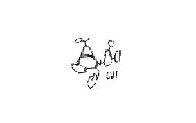 CC(=O)C1C2c3ccccc3C(CN3CCCC3)N(c3ccc(Cl)c(Cl)c3)C12.Cl